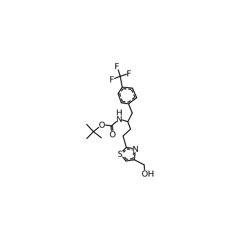 CC(C)(C)OC(=O)NC(CCc1nc(CO)cs1)Cc1ccc(C(F)(F)F)cc1